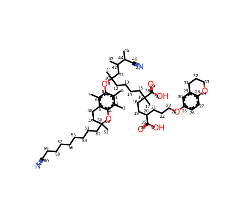 Cc1c(C)c2c(c(C)c1OC(C)(CCCCC(C)(CCC(CCCOc1ccc3c(c1)CCCO3)C(=O)O)C(=O)O)CC(C)C(C)C#N)CCC(C)(CCCCCCCCC#N)O2